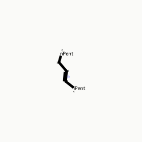 [CH2]CCCCC/C=C/C(C)CC[CH2]